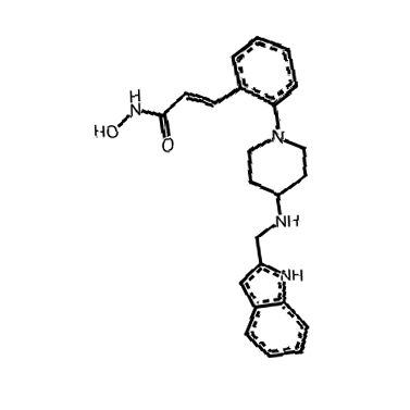 O=C(/C=C/c1ccccc1N1CCC(NCc2cc3ccccc3[nH]2)CC1)NO